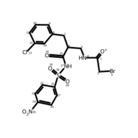 O=C(CBr)NCC(Cc1cccc(Cl)c1)C(=O)NS(=O)(=O)c1ccc([N+](=O)[O-])cc1